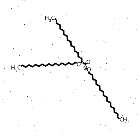 CCCCCCCCCCCCCCCCCCOOC(=O)C(CCCCCCCCCCCCCCCC)OCCCCCCCCCCCCCCCCCC